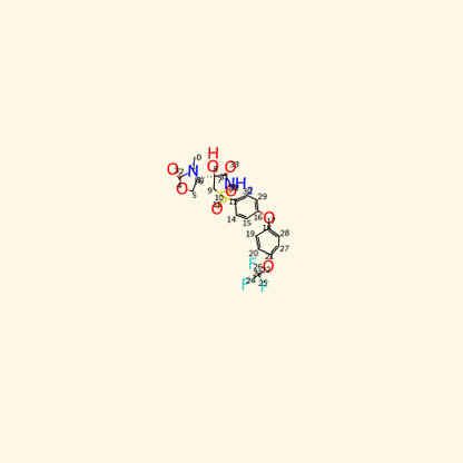 CN1C(=O)OC[C@H]1C(O)(CS(=O)(=O)c1ccc(Oc2ccc(OC(F)(F)F)cc2)cc1)C(N)=O